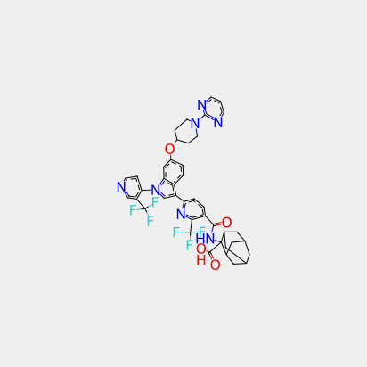 O=C(NC1(C(=O)O)C2CC3CC(C2)CC1C3)c1ccc(-c2cn(-c3ccncc3C(F)(F)F)c3cc(OC4CCN(c5ncccn5)CC4)ccc23)nc1C(F)(F)F